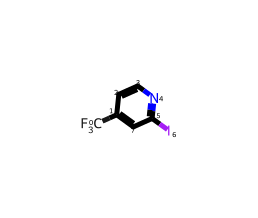 FC(F)(F)c1ccnc(I)c1